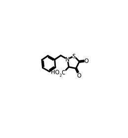 O=C1SN(Cc2ccccc2)C(C(=O)O)C1=O